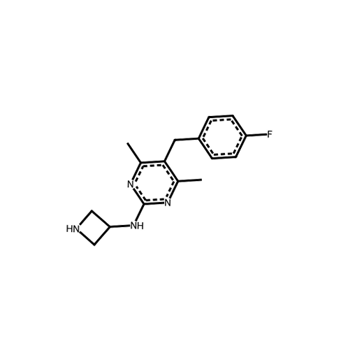 Cc1nc(NC2CNC2)nc(C)c1Cc1ccc(F)cc1